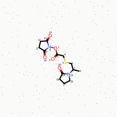 CC(CSCC(=O)ON1C(=O)CCC1=O)N1CCCC1=O